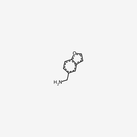 NCc1ccc2occc2c1